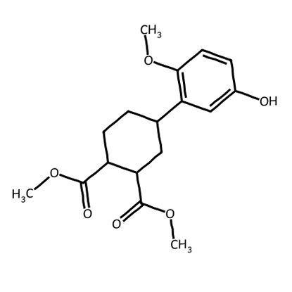 COC(=O)C1CCC(c2cc(O)ccc2OC)CC1C(=O)OC